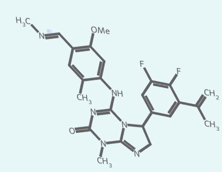 C=C(C)c1cc(C2CN=C3N(C)C(=O)N=C(Nc4cc(OC)c(/C=N/C)cc4C)N32)cc(F)c1F